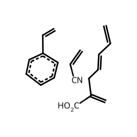 C=CC#N.C=CC=CCC(=C)C(=O)O.C=Cc1ccccc1